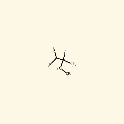 FC(F)C(F)(OC(F)(F)F)C(F)(F)F